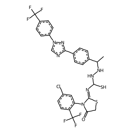 CC(NNC(S)/N=C1\SCC(=O)N1c1cc(Cl)ccc1C(F)(F)F)c1ccc(-c2ncn(-c3ccc(C(F)(F)F)cc3)n2)cc1